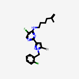 C=C(C)CCCCNc1nc(-c2cc(CC)n(Cc3ccccc3F)n2)ncc1F